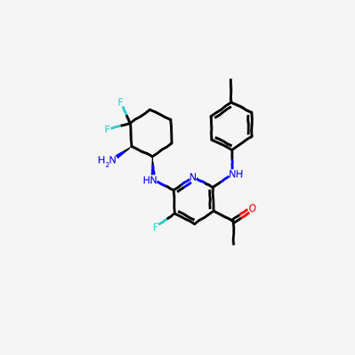 CC(=O)c1cc(F)c(N[C@@H]2CCCC(F)(F)[C@@H]2N)nc1Nc1ccc(C)cc1